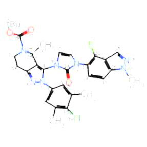 Cc1cc(-n2nc3c(c2-n2ccn(-c4ccc5c(cnn5C)c4F)c2=O)[C@H](C)N(C(=O)OC(C)(C)C)CC3)cc(C)c1Cl